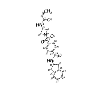 C=CC(=O)NC1CN(S(=O)(=O)c2ccc(C(=O)NC3Cc4ccccc4C3)cc2)C1